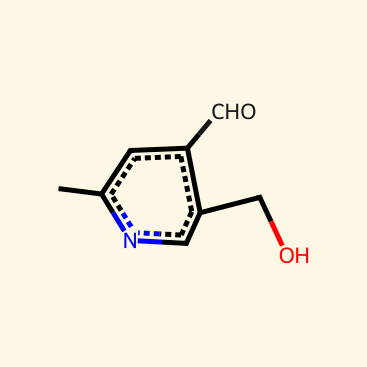 Cc1cc(C=O)c(CO)cn1